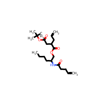 C=CCCC(=O)NC(CCCC)COC(=O)C(CC=C)CC(=O)OC(C)(C)C